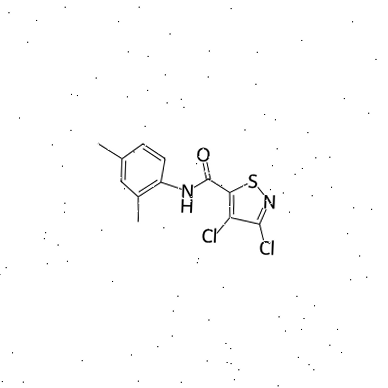 Cc1ccc(NC(=O)c2snc(Cl)c2Cl)c(C)c1